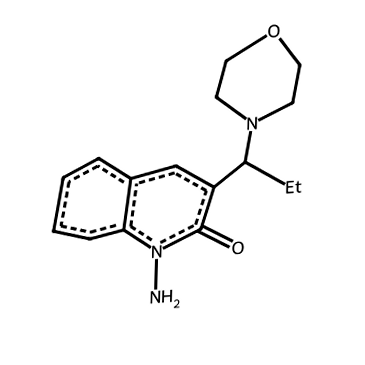 CCC(c1cc2ccccc2n(N)c1=O)N1CCOCC1